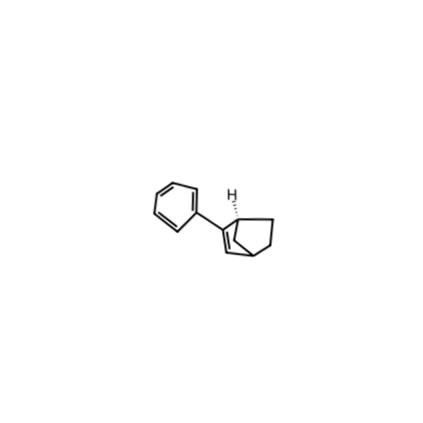 C1=C(c2ccccc2)[C@H]2CCC1C2